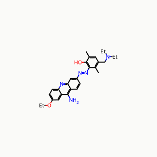 CCOc1ccc2nc3cc(/N=N/c4c(C)c(CN(CC)CC)cc(C)c4O)ccc3c(N)c2c1